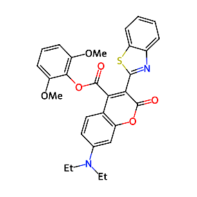 CCN(CC)c1ccc2c(C(=O)Oc3c(OC)cccc3OC)c(-c3nc4ccccc4s3)c(=O)oc2c1